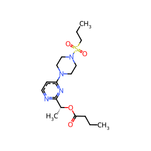 CCCC(=O)O[C@H](C)c1nccc(N2CCN(S(=O)(=O)CCC)CC2)n1